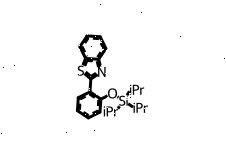 CC(C)[Si](Oc1ccccc1-c1nc2ccccc2s1)(C(C)C)C(C)C